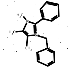 Cc1c(C)[n+](Cc2ccccc2)c(-c2ccccc2)n1C